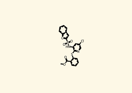 COC(=O)c1ccccc1Sc1ncc(Cl)cc1NS(=O)(=O)c1cc2ccccc2o1